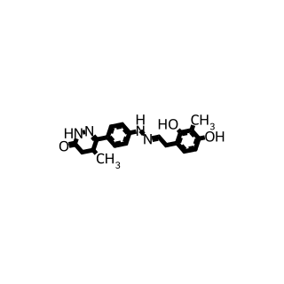 Cc1c(O)ccc(CC=NNc2ccc(C3=NNC(=O)CC3C)cc2)c1O